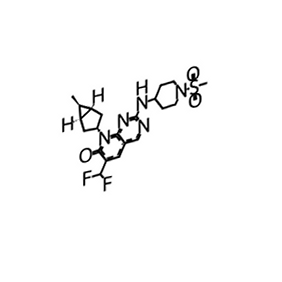 C[C@H]1[C@H]2C[C@@H](n3c(=O)c(C(F)F)cc4cnc(NC5CCN(S(C)(=O)=O)CC5)nc43)C[C@@H]12